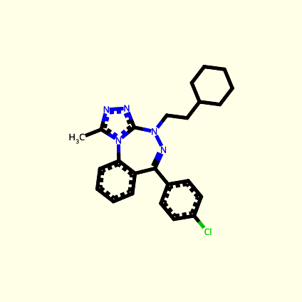 Cc1nnc2n1-c1ccccc1C(c1ccc(Cl)cc1)=NN2CCC1CCCCC1